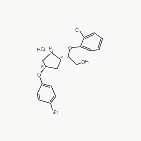 CC(C)c1ccc(O[C@H]2CN[C@H](C(CO)Oc3ccccc3Cl)C2)cc1.Cl